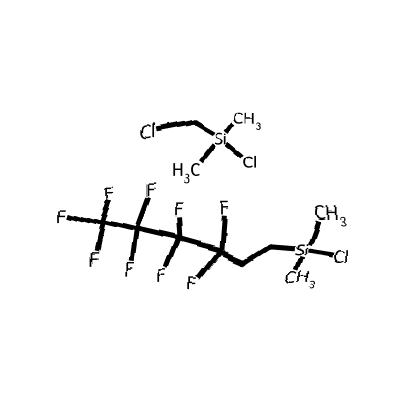 C[Si](C)(Cl)CCC(F)(F)C(F)(F)C(F)(F)C(F)(F)F.C[Si](C)(Cl)CCl